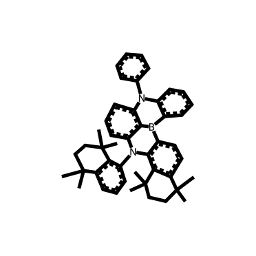 CC1(C)CCC(C)(C)c2c(N3c4cccc5c4B(c4ccccc4N5c4ccccc4)c4ccc5c(c43)C(C)(C)CCC5(C)C)cccc21